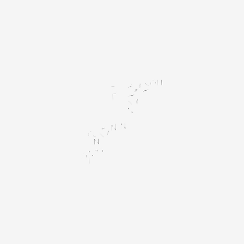 O=C1CCC(N2Cc3cc(N4CCN(CC5CCN(c6ccc([C@@H]7c8ccc(O)cc8CC[C@@H]7C7CCC(F)(F)CC7)cc6)CC5)CC4)ccc3C2=O)C(=O)N1